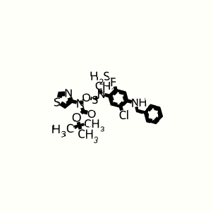 CN(SON(C(=O)OC(C)(C)C)c1cscn1)c1cc(Cl)c(NCc2ccccc2)cc1F.S